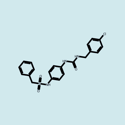 O=C(NCc1ccc(Cl)cc1)Nc1ccc(NS(=O)(=O)Cc2ccccc2)cc1